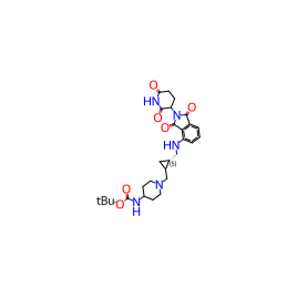 CC(C)(C)OC(=O)NC1CCN(CC2C[C@@H]2CNc2cccc3c2C(=O)N(C2CCC(=O)NC2=O)C3=O)CC1